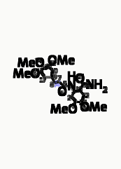 COc1cc(NC(=O)/C=C/c2cc(OC)c(OC)c(OC)c2)c(C(N)=O)cc1OC